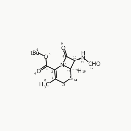 CC1=C(C(=O)OC(C)(C)C)N2C(=O)[C@@H](NC=O)[C@H]2SC1